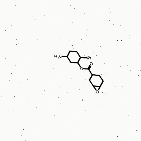 CC1CCC(C(C)C)C(OC(=O)C2CCC3OC3C2)C1